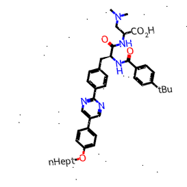 CCCCCCCOc1ccc(-c2cnc(-c3ccc(C[C@H](NC(=O)c4ccc(C(C)(C)C)cc4)C(=O)NC(CN(C)C)C(=O)O)cc3)nc2)cc1